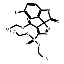 CCOC(=O)C1=C(P(=O)(OCC)OCC)N=NC12C(=O)Nc1ccc(Br)cc12